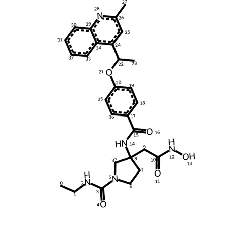 CCNC(=O)N1CCC(CC(=O)NO)(NC(=O)c2ccc(OC(C)c3cc(C)nc4ccccc34)cc2)C1